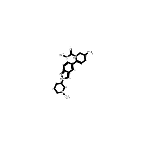 CC1CC=C(c2ccc3nn(C4CCCN(C)C4)cc3c2)N(C(=O)OC(C)(C)C)C1